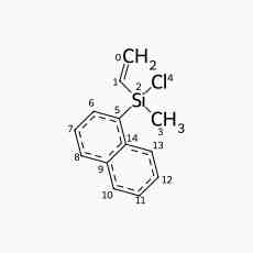 C=C[Si](C)(Cl)c1cccc2ccccc12